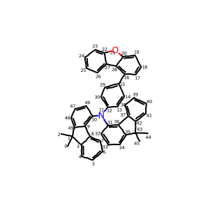 CC1(C)c2ccccc2-c2c(N(c3ccc(-c4cccc5oc6ccccc6c45)cc3)c3cccc4c3-c3ccccc3C4(C)C)cccc21